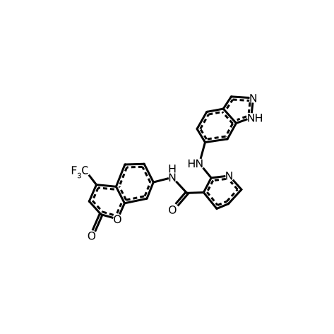 O=C(Nc1ccc2c(C(F)(F)F)cc(=O)oc2c1)c1cccnc1Nc1ccc2cn[nH]c2c1